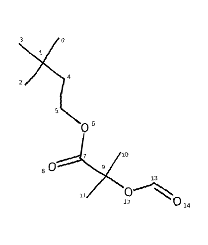 CC(C)(C)CCOC(=O)C(C)(C)OC=O